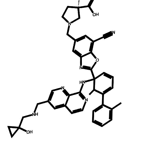 Cc1ccccc1C1=CC=CC(Nc2nccc3cc(CNCC4(O)CC4)cnc23)(c2nc3cc(CN4CC[C@@](C)(C(=O)O)C4)cc(C#N)c3o2)C1C